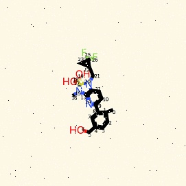 Cc1ccc(CO)cc1-c1ccc2c(n1)N(C)S(O)(O)N2CC1CC1(F)F